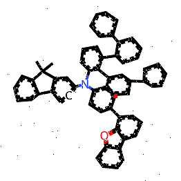 CC1(C)c2ccccc2-c2ccc(N(c3ccc(-c4cccc5c4oc4ccccc45)cc3)c3cccc(-c4ccccc4-c4ccccc4)c3-c3cccc(-c4ccccc4)c3)cc21